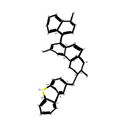 Cc1cc(-c2ccc(C)c3ccccc23)c2ccc3c(c2c1)CC(Cc1ccc2sc4ccccc4c2c1)C(C)C3